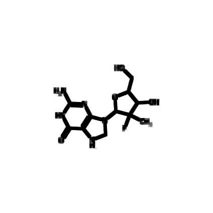 CC1(F)C(O)C(CO)OC1N1CNc2c1nc(N)[nH]c2=O